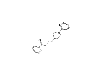 O=C(CCCN1CCN(c2ccccn2)CC1)c1cccnc1